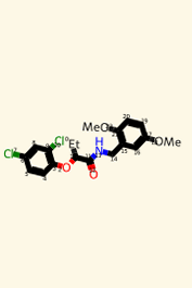 CCC(Oc1ccc(Cl)cc1Cl)C(=O)NCc1cc(OC)ccc1OC